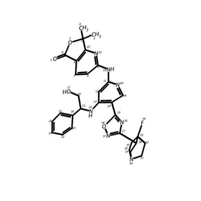 CC1(C)OC(=O)c2ccc(Nc3cc(NC(CO)c4ccccc4)c(-c4nc(C5CN6CCC5(F)CC6)no4)cn3)nc21